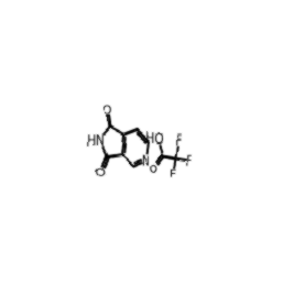 O=C(O)C(F)(F)F.O=C1NC(=O)c2cnccc21